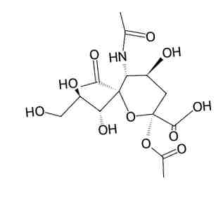 CC(=O)N[C@@H]1[C@@H](O)C[C@@](OC(C)=O)(C(=O)O)O[C@@]1(C(C)=O)[C@H](O)[C@H](O)CO